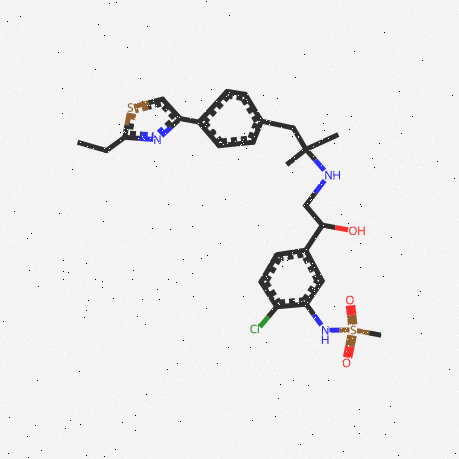 CCc1nc(-c2ccc(CC(C)(C)NCC(O)c3ccc(Cl)c(NS(C)(=O)=O)c3)cc2)cs1